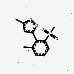 Cc1cc(-c2c(C)[c]ccc2S(C)(=O)=O)on1